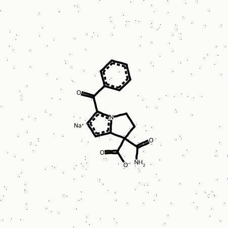 NC(=O)C1(C(=O)[O-])CCn2c(C(=O)c3ccccc3)ccc21.[Na+]